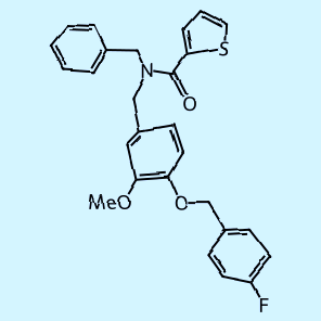 COc1cc(CN(Cc2ccccc2)C(=O)c2cccs2)ccc1OCc1ccc(F)cc1